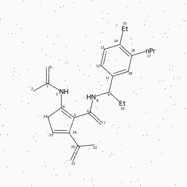 C=C(C)NC1=C(C(=C)NC(CC)c2ccc(CC)c(CCC)c2)C(C(=C)C)=CC1